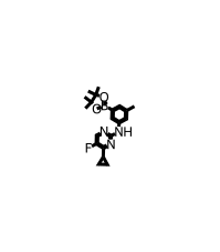 Cc1cc(Nc2ncc(F)c(C3CC3)n2)cc(B2OC(C)(C)C(C)(C)O2)c1